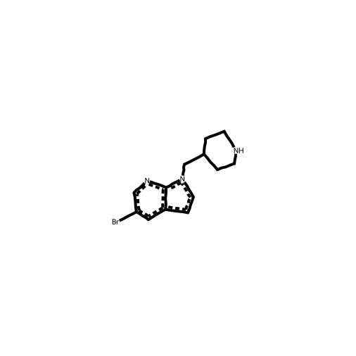 Brc1cnc2c(ccn2CC2CCNCC2)c1